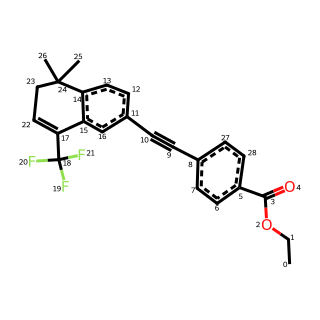 CCOC(=O)c1ccc(C#Cc2ccc3c(c2)C(C(F)(F)F)=CCC3(C)C)cc1